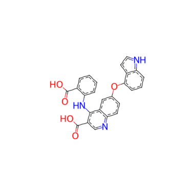 O=C(O)c1ccccc1Nc1c(C(=O)O)cnc2ccc(Oc3cccc4[nH]ccc34)cc12